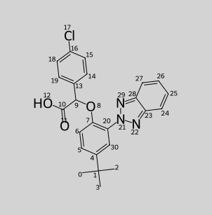 CC(C)(C)c1ccc(OC(C(=O)O)c2ccc(Cl)cc2)c(-n2nc3ccccc3n2)c1